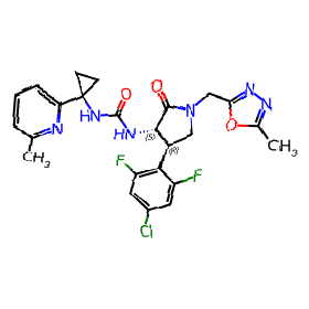 Cc1cccc(C2(NC(=O)N[C@@H]3C(=O)N(Cc4nnc(C)o4)C[C@H]3c3c(F)cc(Cl)cc3F)CC2)n1